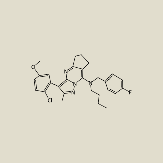 CCCCN(Cc1ccc(F)cc1)c1c2c(nc3c(-c4cc(OC)ccc4Cl)c(C)nn13)CCC2